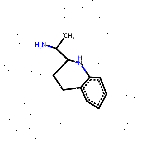 CC(N)C1CCc2ccccc2N1